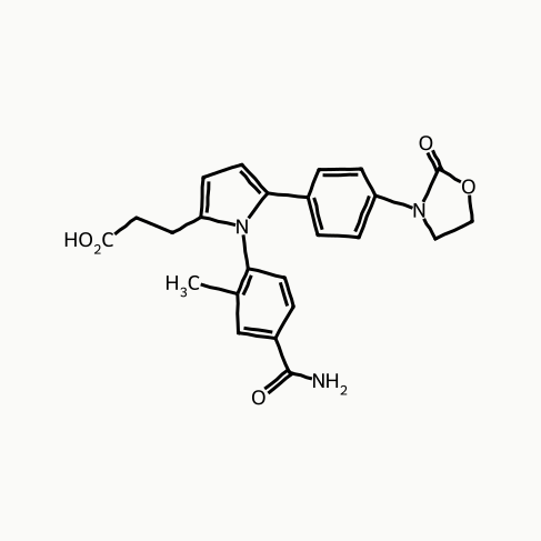 Cc1cc(C(N)=O)ccc1-n1c(CCC(=O)O)ccc1-c1ccc(N2CCOC2=O)cc1